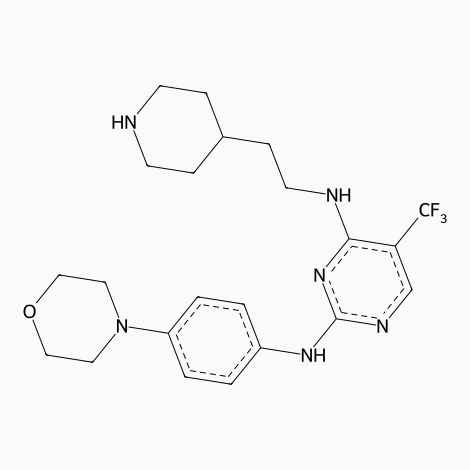 FC(F)(F)c1cnc(Nc2ccc(N3CCOCC3)cc2)nc1NCCC1CCNCC1